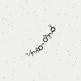 CC(F)(F)COc1nc2c(s1)CCN(CC[C@H]1CC[C@H](NC(=O)COc3cccc(Cl)c3)CC1)C2